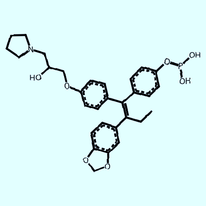 CC/C(=C(/c1ccc(OCC(O)CN2CCCC2)cc1)c1ccc(OP(O)O)cc1)c1ccc2c(c1)OCO2